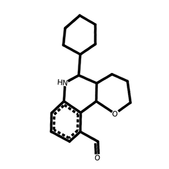 O=Cc1cccc2c1C1OCCCC1C(C1CCCCC1)N2